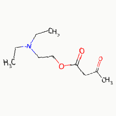 CCN(CC)CCOC(=O)CC(C)=O